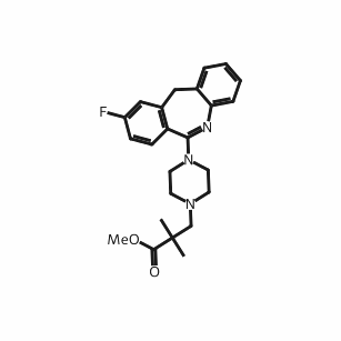 COC(=O)C(C)(C)CN1CCN(C2=Nc3ccccc3Cc3cc(F)ccc32)CC1